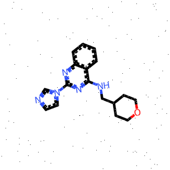 c1ccc2c(NCC3CCOCC3)nc(-n3ccnc3)nc2c1